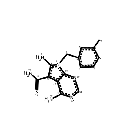 Cc1cccc(Cn2c(N)c(C(N)=S)c3c(N)ncnc32)c1